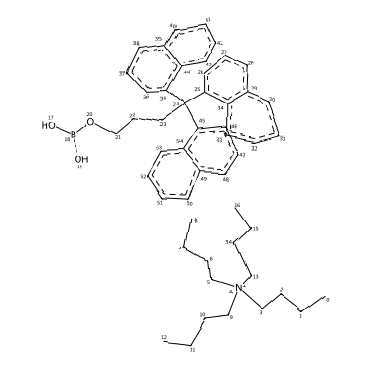 CCCC[N+](CCCC)(CCCC)CCCC.OB(O)OCCCC(c1cccc2ccccc12)(c1cccc2ccccc12)c1cccc2ccccc12